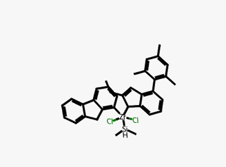 CCC1=Cc2c(-c3c(C)cc(C)cc3C)cccc2[CH]1[Zr]([Cl])([Cl])([c]1cccc2c1Cc1ccccc1-2)[SiH](C)C